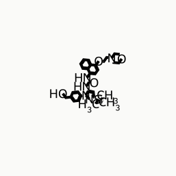 C[Si](C)(C)c1cc(NC(=O)Nc2ccc(OCCN3CCOCC3)c3ccccc23)n(-c2ccc(CO)cc2)n1